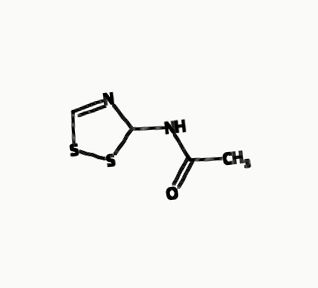 CC(=O)NC1N=CSS1